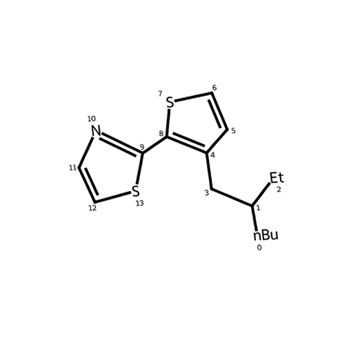 CCCCC(CC)Cc1ccsc1-c1nccs1